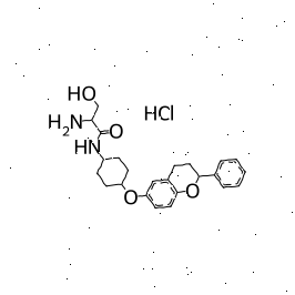 Cl.NC(CO)C(=O)NC1CCC(Oc2ccc3c(c2)CCC(c2ccccc2)O3)CC1